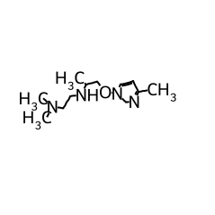 CC1=NCN(OCC(C)NCCN(C)C)C=C1